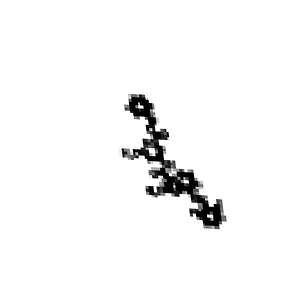 COCC(CNC(=O)OCc1ccccc1)NC(=O)c1c(C)nc2c(OCc3c(F)cccc3F)cccn12